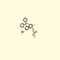 CCOC(=O)C=Cc1ccc(C[P+](c2ccccc2)(c2ccccc2)c2ccccc2)cc1C.[Br-]